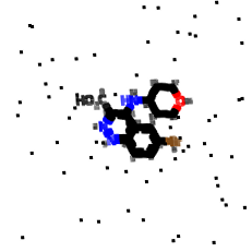 O=C(O)c1nnc2ccc(Br)cc2c1NC1CCOCC1